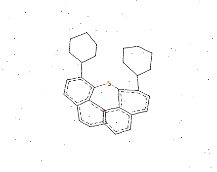 c1ccc2c(Sc3c(C4CCCCC4)ccc4ccccc34)c(C3CCCCC3)ccc2c1